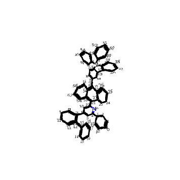 c1ccc(-c2cc(-c3ccccc3-c3ccccc3)cc(-c3c4ccccc4c(-c4ccc5c(c4)-c4ccccc4[Si]5(c4ccccc4)c4ccccc4)c4ccccc34)n2)cc1